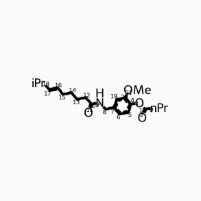 CCCC(=O)Oc1ccc(CNC(=O)CCCCC=CC(C)C)cc1OC